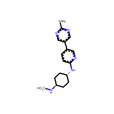 COc1ncc(-c2ccc(N[C@H]3CC[C@H](NC(=O)O)CC3)nc2)cn1